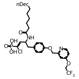 CCCCCCCCCCCCCCCC(=O)NC(C=C(Cl)P(=O)(O)O)Cc1ccc(OCc2cc(OCC(F)(F)F)ccn2)cc1